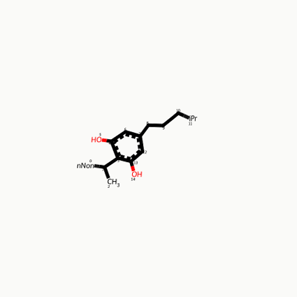 CCCCCCCCCC(C)c1c(O)cc(CCCC(C)C)cc1O